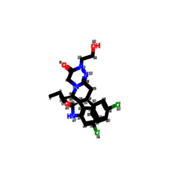 C=C(CC)[C@H]1N2CC(=O)N(CCO)N=C2C[C@@H](c2cccc(Cl)c2)[C@]12C(=O)Nc1cc(Cl)ccc12